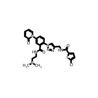 CN(C)CCNC(=O)c1cc(-n2ccccc2=O)ccc1-n1cc(CNC(=O)c2ccc(Cl)s2)nn1